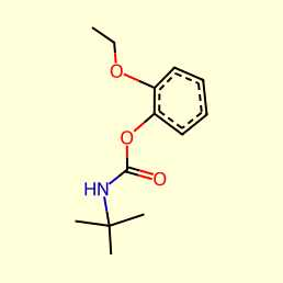 CCOc1ccccc1OC(=O)NC(C)(C)C